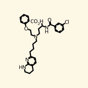 O=C(NC(CCN(CCCCc1ccc2c(n1)NCCC2)CCOc1ccccc1)C(=O)O)c1cccc(Cl)c1